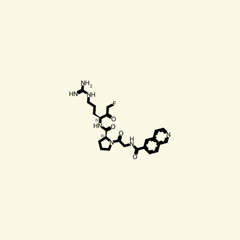 N=C(N)NCCC[C@H](NC(=O)[C@@H]1CCCN1C(=O)CNC(=O)c1ccc2cnccc2c1)C(=O)CF